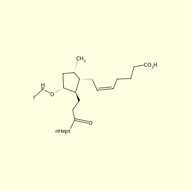 CCCCCCCC(=O)CC[C@@H]1[C@@H](C/C=C\CCCC(=O)O)[C@@H](C)C[C@H]1OPI